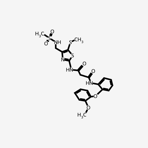 COc1ccccc1Oc1ccccc1NC(=O)CC(=O)Nc1nc(CNS(C)(=O)=O)c(SC)s1